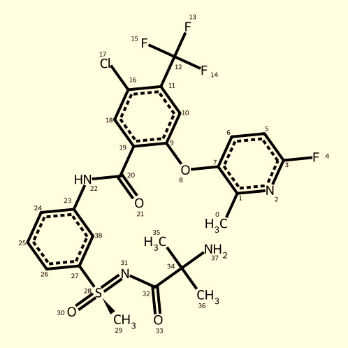 Cc1nc(F)ccc1Oc1cc(C(F)(F)F)c(Cl)cc1C(=O)Nc1cccc([S@@](C)(=O)=NC(=O)C(C)(C)N)c1